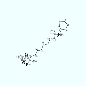 O=C(NC1CCCCC1)OCCCCCCCC(F)(F)S(=O)(=O)O